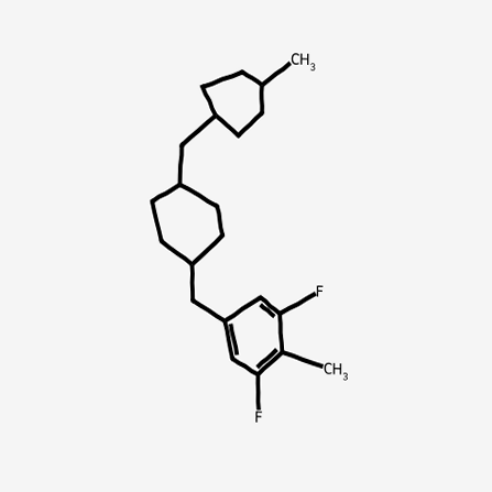 Cc1c(F)cc(CC2CCC(CC3CCC(C)CC3)CC2)cc1F